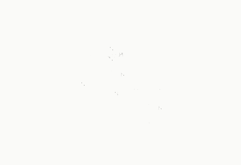 C=C1CN2CC(=C)CC2(COc2nc3c4c(nc(Cl)c(F)c4n2)OC(C)C2C4CCC(CN32)N4C(=O)O)C1